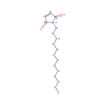 CCCCCCCCCCCCCN1C(=O)C=CC1=O